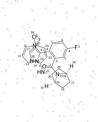 O=C(c1cc(F)ccc1-c1ncccn1)N1[C@@H]2CC[C@H]1[C@H](Nc1ccc(C(F)(F)F)cn1)C2